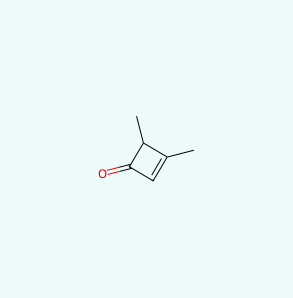 CC1=CC(=O)C1C